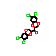 O=C(C1COc2cc(Cl)c(Cl)cc2O1)C1COc2cc(Cl)c(Cl)cc2O1